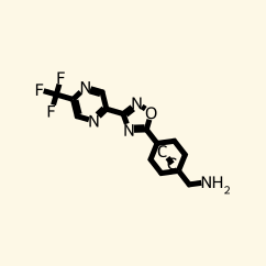 NCC12CCC(c3nc(-c4cnc(C(F)(F)F)cn4)no3)(CC1)CC2